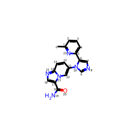 Cc1cccc(-c2cncn2-c2ccc3ncc(C(N)=O)n3c2)n1